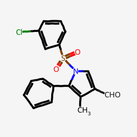 Cc1c(C=O)cn(S(=O)(=O)c2cccc(Cl)c2)c1-c1ccccc1